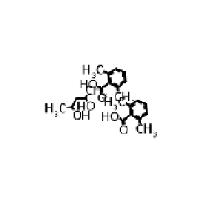 CC(O)CC(C)O.Cc1cccc(C)c1C(=O)O.Cc1cccc(C)c1C(=O)O